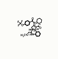 COC[C@@H]1Nc2ccccc2[C@H]2[C@H]1CCN2C(=O)[C@H]1CCCC[C@H]1NC(=O)c1ccc(OC(F)(F)F)cc1